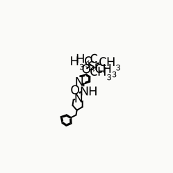 CC(C)(C)[Si](C)(C)Oc1ccc(NC(=O)N2CCC(Cc3ccccc3)CC2)nc1